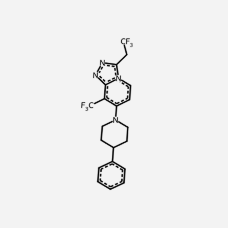 FC(F)(F)Cc1nnc2c(C(F)(F)F)c(N3CCC(c4ccccc4)CC3)ccn12